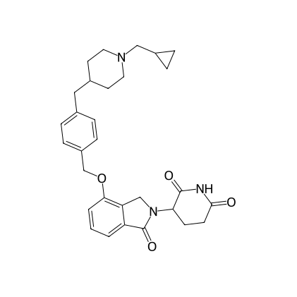 O=C1CCC(N2Cc3c(OCc4ccc(CC5CCN(CC6CC6)CC5)cc4)cccc3C2=O)C(=O)N1